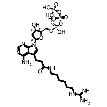 N=C(N)NCCCCCCNC(=O)CCc1cn([C@H]2C[C@@H](O)[C@@H](COP(=O)(O)OP(=O)(O)OP(=O)(O)O)O2)c2ncnc(N)c12